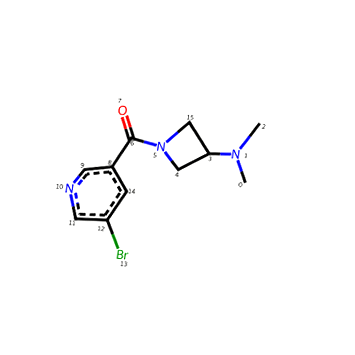 CN(C)C1CN(C(=O)c2cncc(Br)c2)C1